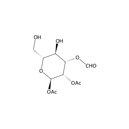 CC(=O)O[C@H]1O[C@H](CO)[C@@H](O)[C@H](OC=O)[C@@H]1OC(C)=O